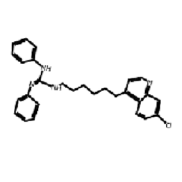 Clc1ccc2c(CCCCCCN/C(=N\c3ccccc3)Nc3ccccc3)ccnc2c1